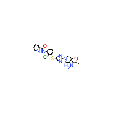 C[C@@H]1OCC2(CCN(c3ncc(Sc4cccc(NC(=O)c5ccccn5)c4Cl)cn3)CC2)[C@@H]1N